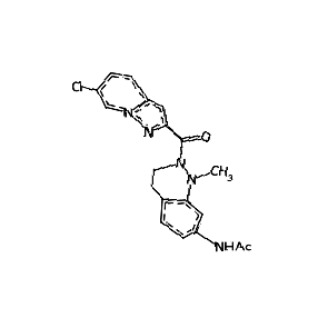 CC(=O)Nc1ccc2c(c1)N(C)N(C(=O)c1cc3ccc(Cl)cn3n1)CC2